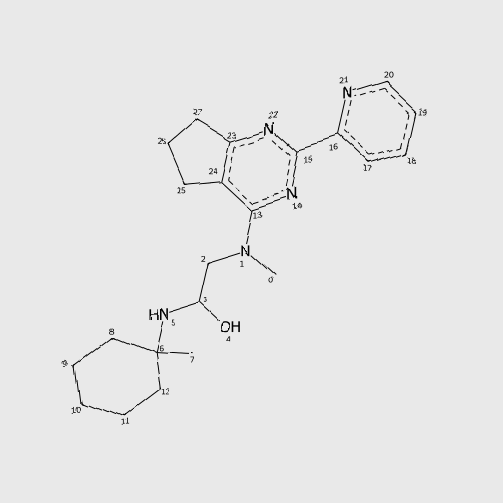 CN(CC(O)NC1(C)CCCCC1)c1nc(-c2ccccn2)nc2c1CCC2